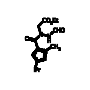 CCOC(=O)CN(NC=O)C(=O)c1cc(C(C)C)cn1C